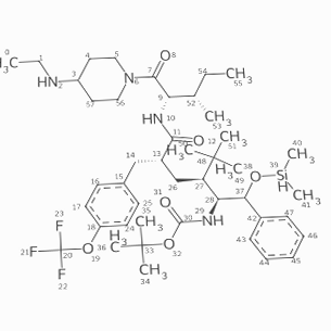 CCNC1CCN(C(=O)[C@@H](NC(=O)[C@@H](Cc2ccc(OC(F)(F)F)cc2)C[C@H]([C@H](NC(=O)OC(C)(C)C)C(O[SiH](C)C)c2ccccc2)C(C)(C)C)[C@@H](C)CC)CC1